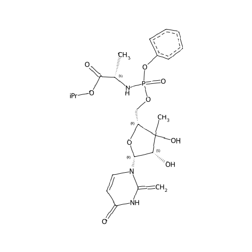 C=C1NC(=O)C=CN1[C@@H]1O[C@H](COP(=O)(N[C@@H](C)C(=O)OC(C)C)Oc2ccccc2)C(C)(O)[C@@H]1O